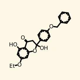 CCOc1cc(O)c2c(c1)OC(O)(c1ccc(OCc3ccccc3)cc1)CC2=O